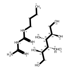 CCCCNC(=N)NC(=N)N.Cl.OC[C@@H](O)[C@@H](O)[C@H](O)[C@H](O)CO